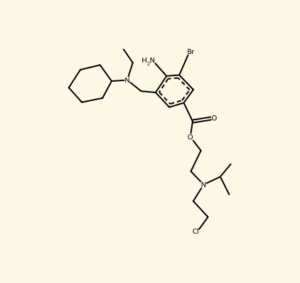 CCN(Cc1cc(C(=O)OCCN(CCCl)C(C)C)cc(Br)c1N)C1CCCCC1